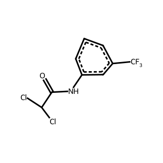 O=C(Nc1cccc(C(F)(F)F)c1)C(Cl)Cl